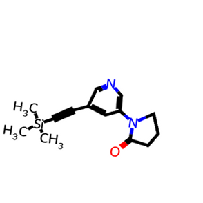 C[Si](C)(C)C#Cc1cncc(N2CCCC2=O)c1